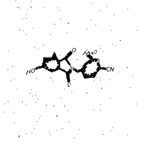 COc1nc(C#N)ccc1N1C(=O)c2ccc(O)cc2C1=O